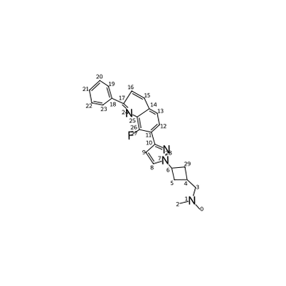 CN(C)CC1CC(n2ccc(-c3ccc4ccc(-c5ccccc5)nc4c3F)n2)C1